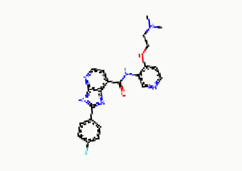 CN(C)CCOc1ccncc1NC(=O)c1ccnc2[nH]c(-c3ccc(F)cc3)nc12